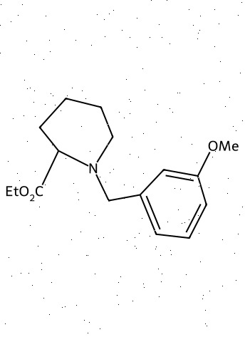 CCOC(=O)C1CCCCN1Cc1cccc(OC)c1